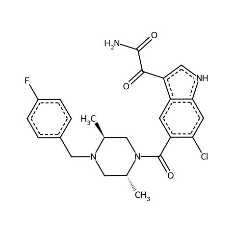 C[C@@H]1CN(Cc2ccc(F)cc2)[C@@H](C)CN1C(=O)c1cc2c(C(=O)C(N)=O)c[nH]c2cc1Cl